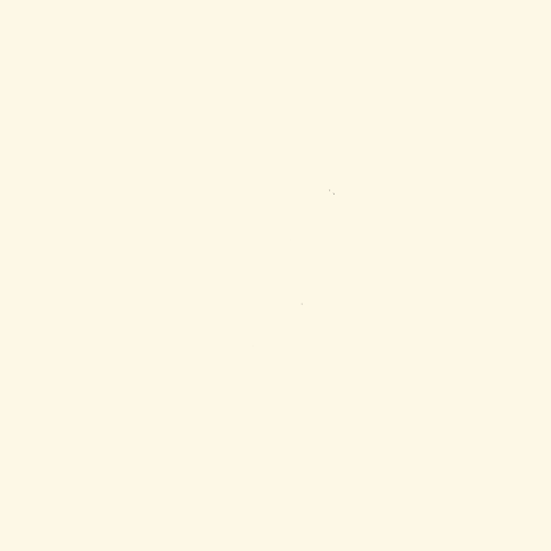 CCC1(C)C=C2C(=CC1C(C)=Cc1ccno1)C(C)CCC2(C)C